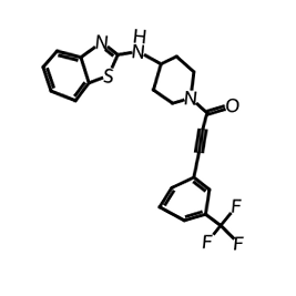 O=C(C#Cc1cccc(C(F)(F)F)c1)N1CCC(Nc2nc3ccccc3s2)CC1